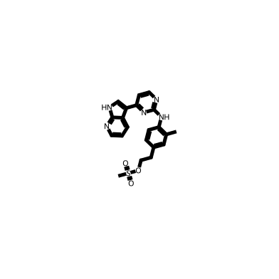 Cc1cc(CCOS(C)(=O)=O)ccc1Nc1nccc(-c2c[nH]c3ncccc23)n1